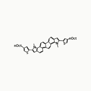 CCCCCCCCc1csc(-c2cc3ccc4c5ccc6c(ccc7cc(-c8cc(CCCCCCCC)cs8)n(C)c76)c5ccc4c3n2C)c1